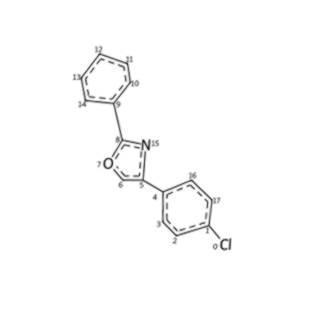 Clc1ccc(-c2coc(-c3ccccc3)n2)cc1